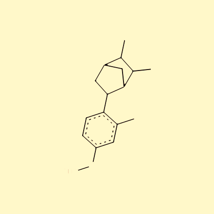 Cc1cc(OC=O)ccc1C1CC2CC1C(C)C2C